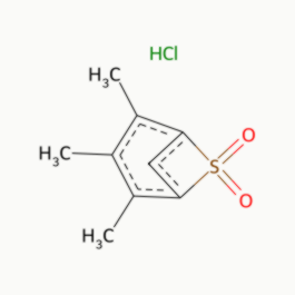 Cc1c2cc(c(C)c1C)S2(=O)=O.Cl